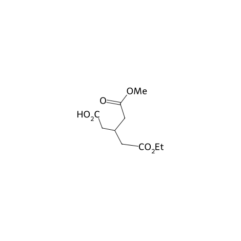 CCOC(=O)CC(CC(=O)O)CC(=O)OC